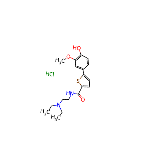 CCN(CC)CCNC(=O)c1ccc(-c2ccc(O)c(OC)c2)s1.Cl